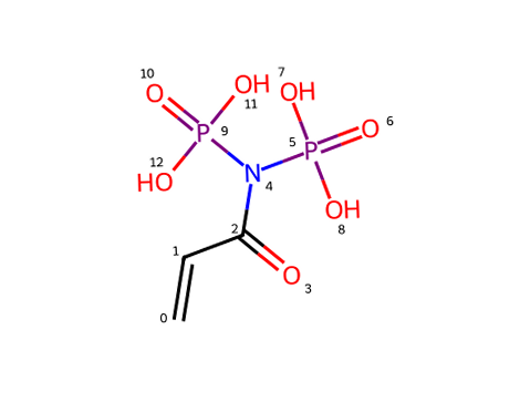 C=CC(=O)N(P(=O)(O)O)P(=O)(O)O